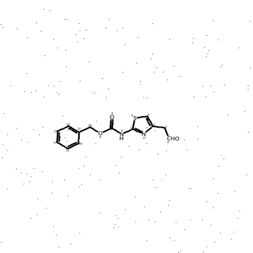 O=CCc1csc(NC(=O)OCc2ccccc2)n1